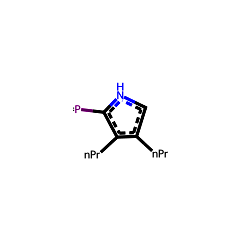 CCCc1c[nH]c([P])c1CCC